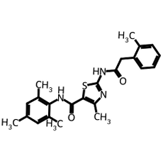 Cc1cc(C)c(NC(=O)c2sc(NC(=O)Cc3ccccc3C)nc2C)c(C)c1